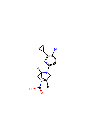 Nc1ccc(N2C[C@H]3C[C@@H]2CN3C(=O)O)nc1C1CC1